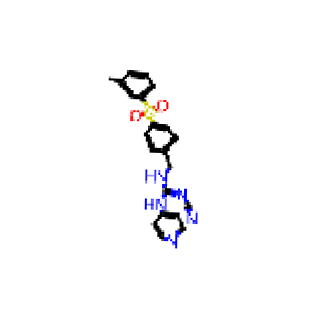 Cc1cccc(S(=O)(=O)c2ccc(CNC(=NC#N)Nc3ccncc3)cc2)c1